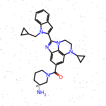 N[C@@H]1CCCN(C(=O)c2cc3c4c(c2)nc(-c2cc5ccccc5n2CC2CC2)n4CCN3C2CC2)C1